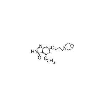 COc1cc(OCCCN2CCOCC2)cc2nc[nH]c(=O)c12